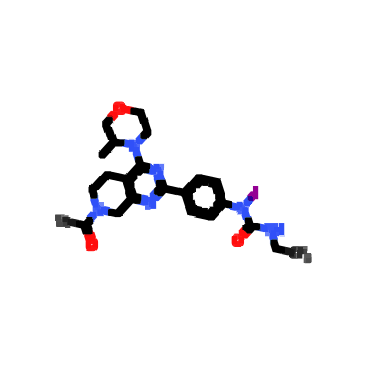 CCC(=O)N1CCc2c(nc(-c3ccc(N(I)C(=O)NCC(F)(F)F)cc3)nc2N2CCOCC2C)C1